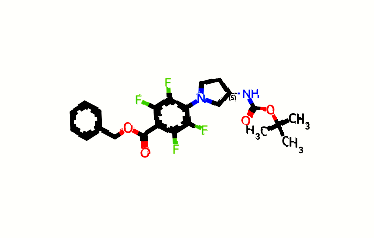 CC(C)(C)OC(=O)N[C@H]1CCN(c2c(F)c(F)c(C(=O)OCc3ccccc3)c(F)c2F)C1